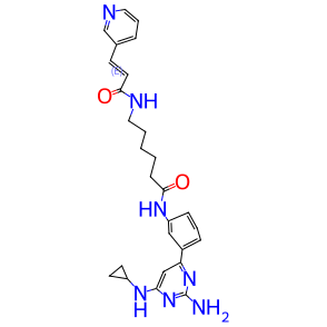 Nc1nc(NC2CC2)cc(-c2cccc(NC(=O)CCCCCNC(=O)/C=C/c3cccnc3)c2)n1